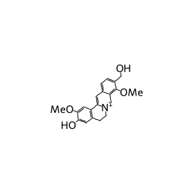 COc1cc2c(cc1O)CC[n+]1cc3c(OC)c(CO)ccc3cc1-2